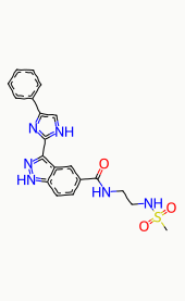 CS(=O)(=O)NCCNC(=O)c1ccc2[nH]nc(-c3nc(-c4ccccc4)c[nH]3)c2c1